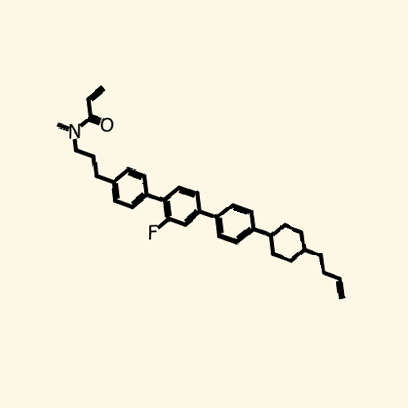 C=CCCC1CCC(c2ccc(-c3ccc(-c4ccc(CCCN(C)C(=O)C=C)cc4)c(F)c3)cc2)CC1